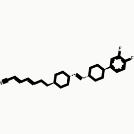 N#CC=CC=CCC[C@H]1CC[C@H](C=C[C@H]2CC[C@H](c3ccc(F)c(F)c3)CC2)CC1